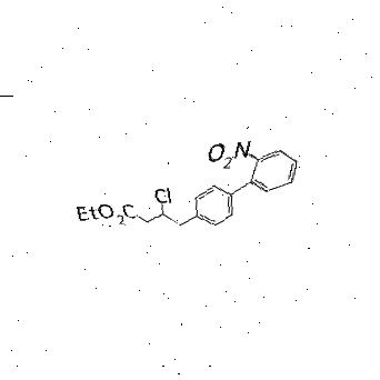 CCOC(=O)CC(Cl)Cc1ccc(-c2ccccc2[N+](=O)[O-])cc1